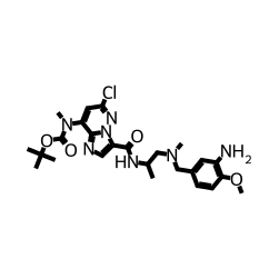 COc1ccc(CN(C)CC(C)NC(=O)c2cnc3c(N(C)C(=O)OC(C)(C)C)cc(Cl)nn23)cc1N